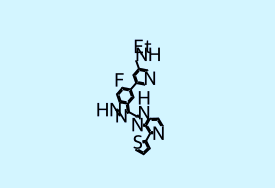 CCNCc1cncc(-c2cc3c(-c4nc5c(-c6cccs6)nccc5[nH]4)n[nH]c3cc2F)c1